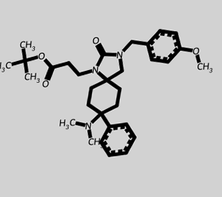 COc1ccc(CN2CC3(CCC(c4ccccc4)(N(C)C)CC3)N(CCC(=O)OC(C)(C)C)C2=O)cc1